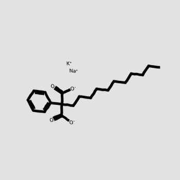 CCCCCCCCCCCC(C(=O)[O-])(C(=O)[O-])c1ccccc1.[K+].[Na+]